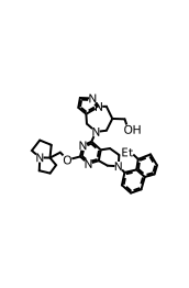 CCc1cccc2cccc(N3CCc4c(nc(OCC56CCCN5CCC6)nc4N4Cc5ccnn5CC(CO)C4)C3)c12